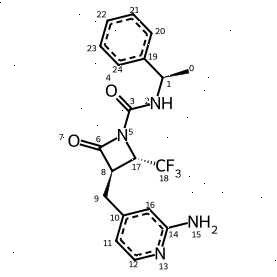 C[C@@H](NC(=O)N1C(=O)[C@H](Cc2ccnc(N)c2)[C@H]1C(F)(F)F)c1ccccc1